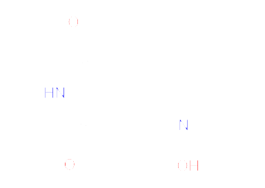 O=C1C=CC(=O)N1.ON1CCCCC1